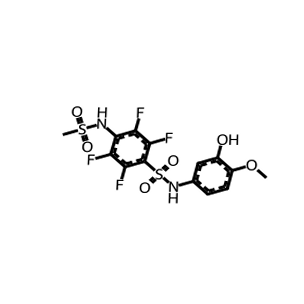 COc1ccc(NS(=O)(=O)c2c(F)c(F)c(NS(C)(=O)=O)c(F)c2F)cc1O